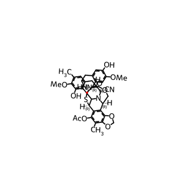 COc1cc2c(cc1O)CCN[C@]21CS[C@@H]2c3c(OC(C)=O)c(C)c4c(c3[C@H](COC1=O)N1C2C2N[C@H](Cc3cc(C)c(OC)c(O)c32)[C@@H]1C#N)OCO4